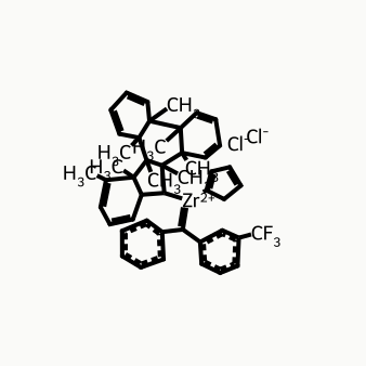 CC1=CC=CC2[CH](/[Zr+2]([C]3=CC=CC3)=[C](\c3ccccc3)c3cccc(C(F)(F)F)c3)C3(C)C4(C)C=CC=CC4(C)C4(C)C=CC=CC4(C)C3(C)C12C.[Cl-].[Cl-]